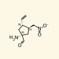 C=C[C@H]1C[C@](N)(C=O)C[C@@H]1C[N+](=O)[O-]